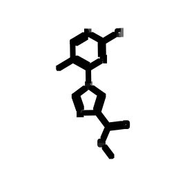 COC(=O)c1cn(-c2nc(Cl)ncc2C)cn1